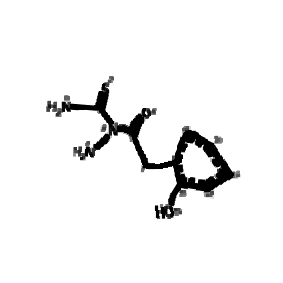 NC(=S)N(N)C(=O)Cc1ccccc1O